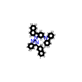 c1ccc2cc(-c3nc(-n4c5cc(-n6c7ccccc7c7ccccc76)ccc5c5c6ccccc6ccc54)nc4ccccc34)ccc2c1